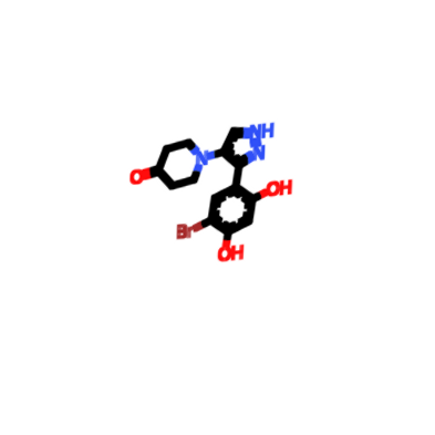 O=C1CCN(c2c[nH]nc2-c2cc(Br)c(O)cc2O)CC1